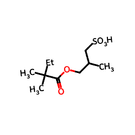 CCC(C)(C)C(=O)OCC(C)CS(=O)(=O)O